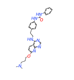 CN(C)CCCOc1ccc2c(NCCc3ccc(NC(=O)Nc4ccccc4)cc3)ncnc2n1